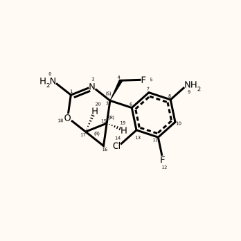 NC1=N[C@](CF)(c2cc(N)cc(F)c2Cl)[C@H]2C[C@H]2O1